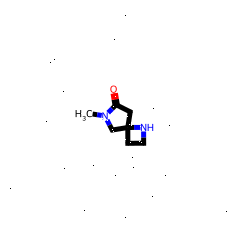 CN1CC2(CCN2)CC1=O